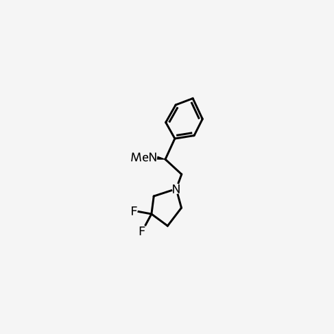 CN[C@H](CN1CCC(F)(F)C1)c1ccccc1